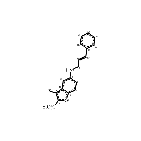 CCOC(=O)c1oc2ccc(NCC=Cc3ccccc3)cc2c1C